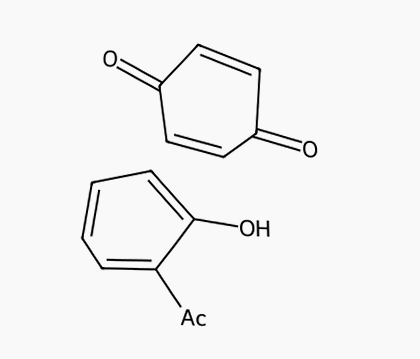 CC(=O)c1ccccc1O.O=C1C=CC(=O)C=C1